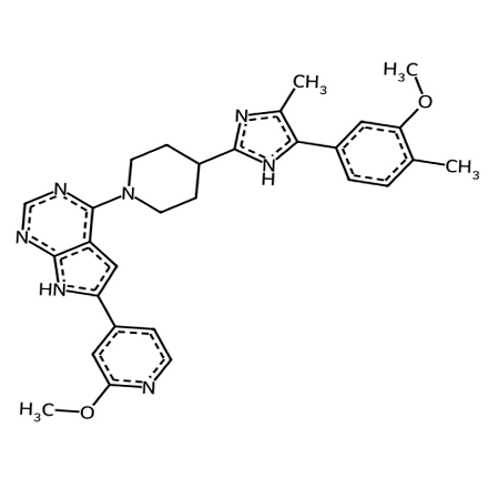 COc1cc(-c2cc3c(N4CCC(c5nc(C)c(-c6ccc(C)c(OC)c6)[nH]5)CC4)ncnc3[nH]2)ccn1